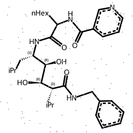 CCCCCCC(NC(=O)c1cccnc1)C(=O)N[C@@H](CC(C)C)[C@@H](O)[C@H](O)[C@H](C(=O)NCc1ccccc1)C(C)C